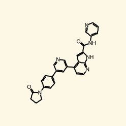 O=C(Nc1cccnc1)c1cc2c(-c3cncc(-c4ccc(N5CCCC5=O)cc4)c3)ccnc2[nH]1